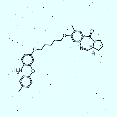 Cc1ccc(Oc2cc(OCCCCCOc3cc4c(cc3C)C(=O)N3CCC[C@H]3C=N4)ccc2N)cc1